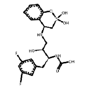 O=C(O)N[C@@H](Cc1cc(F)cc(F)c1)[C@@H](O)CNC1CS(O)(O)Oc2ccccc21